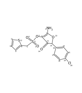 NC1=C(OS(=O)(=O)Cc2cccs2)C(=O)C(c2ccc(Cl)cc2)O1